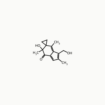 CC1=C(CO)C2=C(C)C3(CC3)C(C)(O)C(=O)C2=C1